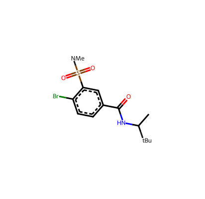 CNS(=O)(=O)c1cc(C(=O)NC(C)C(C)(C)C)ccc1Br